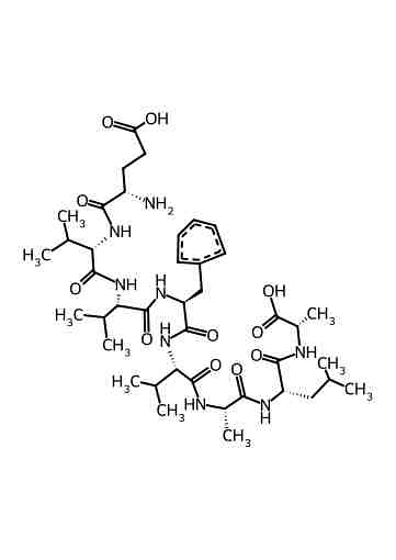 CC(C)C[C@H](NC(=O)[C@H](C)NC(=O)[C@@H](NC(=O)[C@H](Cc1ccccc1)NC(=O)[C@@H](NC(=O)[C@@H](NC(=O)[C@@H](N)CCC(=O)O)C(C)C)C(C)C)C(C)C)C(=O)N[C@@H](C)C(=O)O